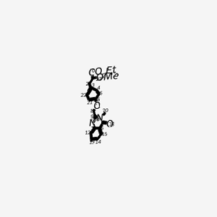 CCOC(=O)C(Cc1ccc(OCc2nc3ccccc3c(=O)n2C)cc1)OC